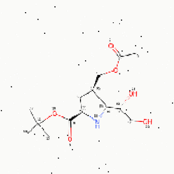 CC(=O)OC[C@@H]1C[C@H](C(=O)OC(C)(C)C)N[C@H]1[C@H](O)CO